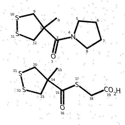 CC1(C(=O)N2CCCC2)CSSC1.CC1(C(=O)SCC(=O)O)CSSC1